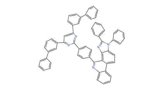 c1ccc(-c2cccc(-c3cc(-c4cccc(-c5ccccc5)c4)nc(-c4ccc(-c5nc6ccccc6c6ccc7c(nc(-c8ccccc8)n7-c7ccccc7)c56)cc4)n3)c2)cc1